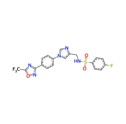 O=S(=O)(NCc1cn(-c2ccc(-c3noc(C(F)(F)F)n3)cc2)cn1)c1ccc(F)cc1